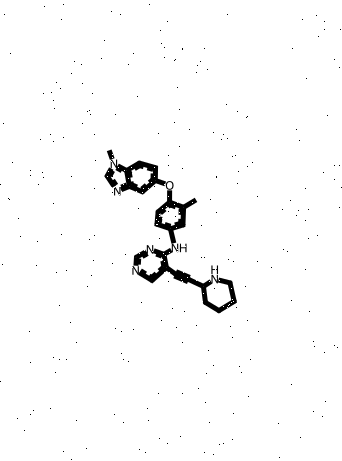 Cc1cc(Nc2ncncc2C#CC2CCCCN2)ccc1Oc1ccc2c(c1)ncn2C